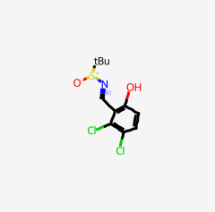 CC(C)(C)[S+]([O-])/N=C/c1c(O)ccc(Cl)c1Cl